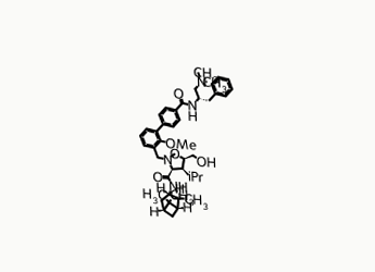 COc1c(CN2O[C@@H](CO)[C@@H](C(C)C)[C@H]2C(=O)N[C@H]2C[C@H]3C[C@@H]([C@@H]2C)C3(C)C)cccc1-c1ccc(C(=O)N[C@@H](Cc2ccccc2)CN(C)C)cc1